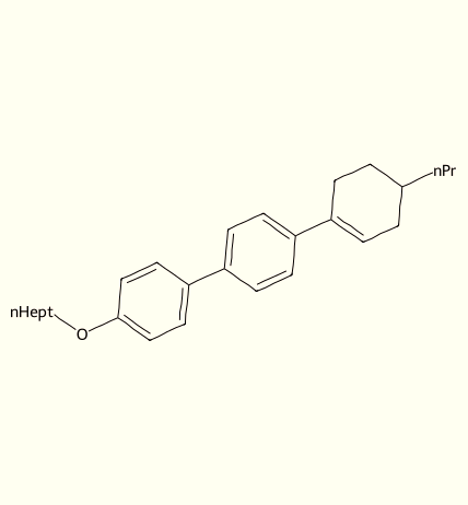 CCCCCCCOc1ccc(-c2ccc(C3=CCC(CCC)CC3)cc2)cc1